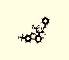 COC(=O)c1c(C(=O)OCc2ccccc2)c2c(n1Cc1cccc(C(F)(F)F)c1)CCCC2